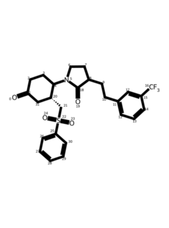 O=C1CCC(N2CCC(CCc3cccc(C(F)(F)F)c3)C2=O)[C@H](CS(=O)(=O)c2ccccc2)C1